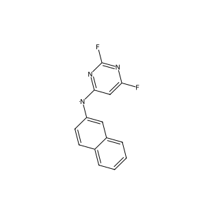 Fc1cc([N]c2ccc3ccccc3c2)nc(F)n1